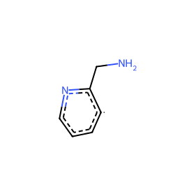 NCc1[c]cccn1